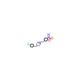 O=c1[nH]c2ccc(CCN3CCC(Cc4ccc(F)cc4)CC3)cc2o1